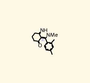 CN/C(=C1\C(=N)CCCC1=O)c1ccc(C)cc1C